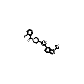 O=C(c1ccccc1F)N1CCC(c2noc(-c3ccc4cnn(C5COC5)c4c3)n2)CC1